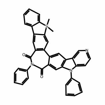 C[Si]1(C)c2ccccc2-c2cc3c(=O)n(-c4ccccc4)c(=O)c4cc5c(cc4c3cc21)c1cnccc1n5-c1ccccc1